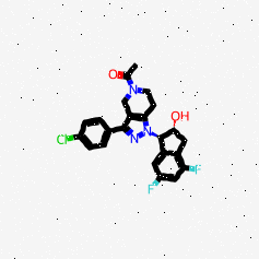 CC(=O)N1CCc2c(c(-c3ccc(Cl)cc3)nn2[C@@H]2c3cc(F)cc(F)c3C[C@H]2O)C1